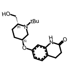 CC(C)(C)N1C[C@@H](Oc2ccc3c(c2)NC(=O)CC3)CC[C@@H]1CO